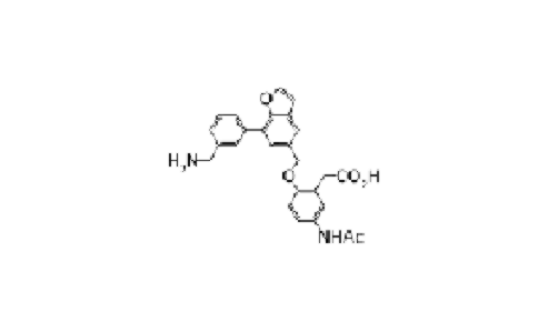 CC(=O)Nc1ccc(OCc2cc(-c3cccc(CN)c3)c3occc3c2)c(CC(=O)O)c1